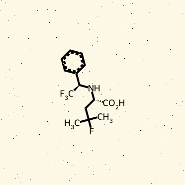 CC(C)(F)C[C@H](N[C@H](c1ccccc1)C(F)(F)F)C(=O)O